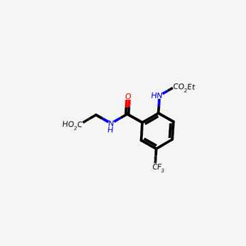 CCOC(=O)Nc1ccc(C(F)(F)F)cc1C(=O)NCC(=O)O